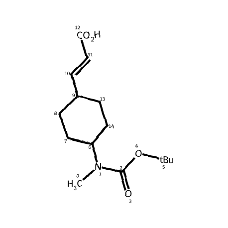 CN(C(=O)OC(C)(C)C)C1CCC(C=CC(=O)O)CC1